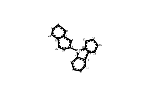 c1ccc2cc(-[s+]3c4ccccc4c4ccccc43)ccc2c1